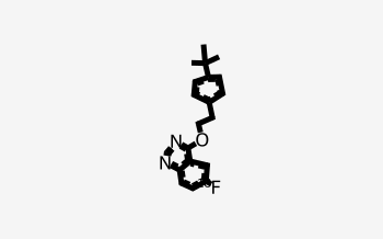 CC(C)(C)c1ccc(CCOc2ncnc3ccc([18F])cc23)cc1